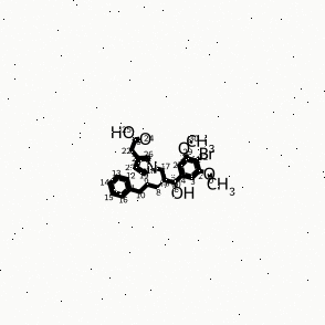 COc1cc([C@@H](O)[C@@H](CCCc2ccccc2)Cn2ccc(CC(=O)O)c2)cc(OC)c1Br